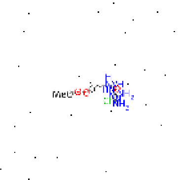 COCCOCCOc1ccc(CCCCNC(=N)NC(=O)c2nc(Cl)c(N)nc2N)cc1